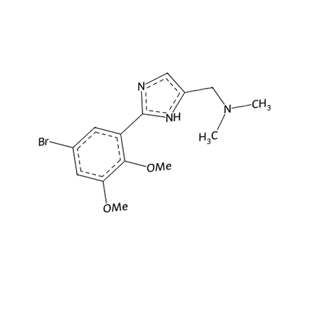 COc1cc(Br)cc(-c2ncc(CN(C)C)[nH]2)c1OC